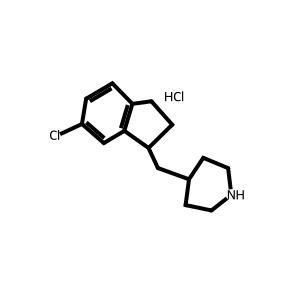 Cl.Clc1ccc2c(c1)C(CC1CCNCC1)CC2